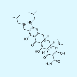 CC(C)CNCc1c(NCC(C)C)cc2c(c1O)C(=O)C1=C(O)[C@@H]3C(=O)C(C(N)=O)=C(O)[C@@H](N(C)C)[C@@H]3C[C@@H]1C2